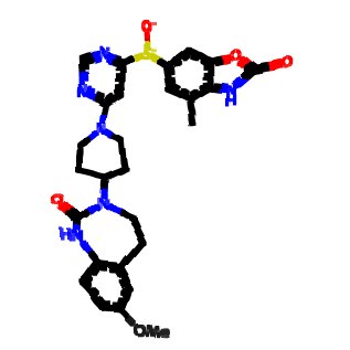 COc1ccc2c(c1)CCN(C1CCN(c3cc([S+]([O-])c4cc(C)c5[nH]c(=O)oc5c4)ncn3)CC1)C(=O)N2